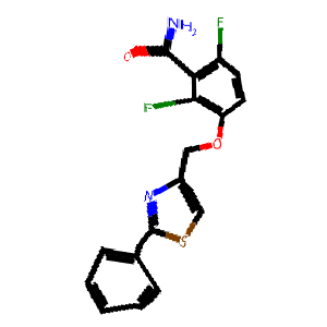 NC(=O)c1c(F)ccc(OCc2csc(-c3ccccc3)n2)c1F